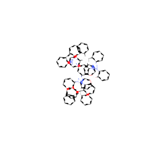 c1ccc(-c2cccc3c2N(c2ccccc2[Si](c2ccccc2)(c2ccccc2)c2ccccc2)c2cc(-n4c5ccccc5c5ccccc54)cc4c2B3c2ccccc2N4c2ccccc2[Si](c2ccccc2)(c2ccccc2)c2ccccc2)cc1